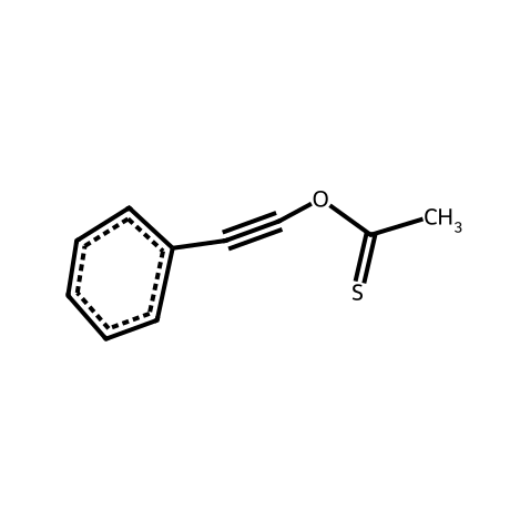 CC(=S)OC#Cc1ccccc1